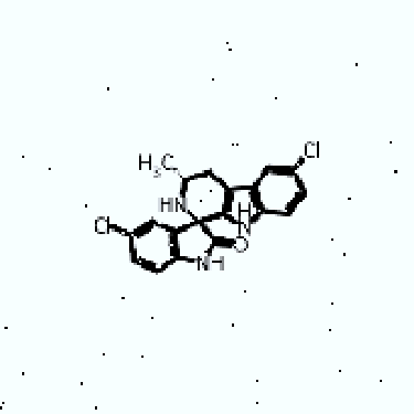 C[C@@H]1Cc2c([nH]c3ccc(Cl)cc23)[C@]2(N1)C(=O)Nc1ccc(Cl)cc12